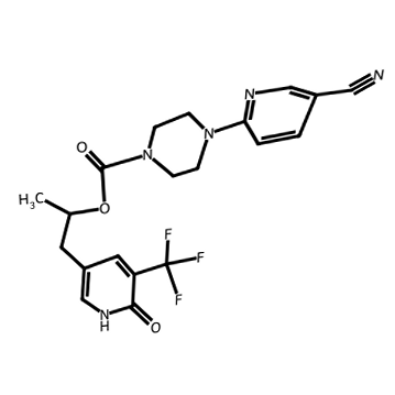 CC(Cc1c[nH]c(=O)c(C(F)(F)F)c1)OC(=O)N1CCN(c2ccc(C#N)cn2)CC1